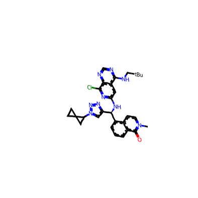 Cn1ccc2c([C@H](Nc3cc4c(NCC(C)(C)C)ncnc4c(Cl)n3)c3cn(C4CC45CC5)nn3)cccc2c1=O